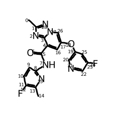 Cc1nc2c(C(=O)Nc3ccc(F)c(C)n3)cc(Oc3cncc(F)c3)cn2n1